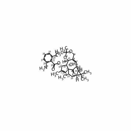 CC1=C[C@]23C(=O)[C@@H](C=C4COC(C)(C)O[C@H]4[C@]2(O)[C@H]1OC(=O)c1c(C)cccc1N)[C@H]1[C@@H](C[C@H]3C)C1(C)C